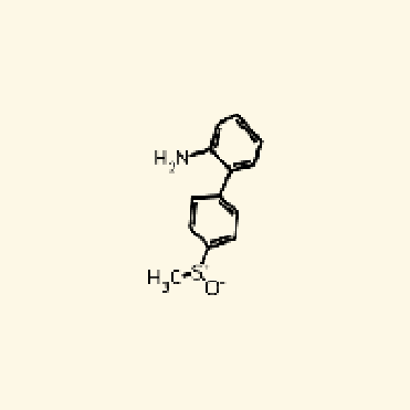 C[S+]([O-])c1ccc(-c2ccccc2N)cc1